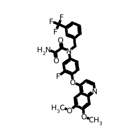 COc1cc2nccc(Oc3ccc(N(Cc4cccc(C(F)(F)F)c4)C(=O)C(N)=O)cc3F)c2cc1OC